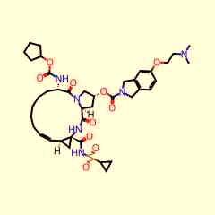 CN(C)CCOc1ccc2c(c1)CN(C(=O)O[C@@H]1C[C@H]3C(=O)N[C@]4(C(=O)NS(=O)(=O)C5CC5)C[C@H]4/C=C\CCCCC[C@H](NC(=O)OC4CCCC4)C(=O)N3C1)C2